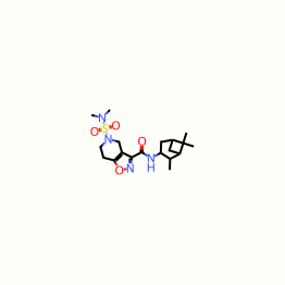 CC1C(NC(=O)c2noc3c2CN(S(=O)(=O)N(C)C)CC3)CC2CC1C2(C)C